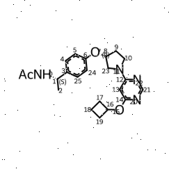 CC(=O)N[C@@H](C)c1ccc(O[C@@H]2CCN(c3cc(OC4CCC4)ncn3)C2)cc1